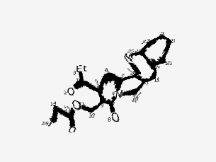 CCC(=O)c1cc2n(c(=O)c1COC(=O)CI)Cc1cc3ccccc3nc1-2